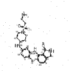 NCCS(=O)(=O)N1CCC(Nc2ncc(Br)c(Nc3cccc4c3C(=O)NC4)n2)CC1